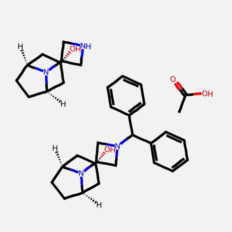 CC(=O)O.O[C@@H]1C[C@H]2CC[C@@H](C1)N2C1CN(C(c2ccccc2)c2ccccc2)C1.O[C@@H]1C[C@H]2CC[C@@H](C1)N2C1CNC1